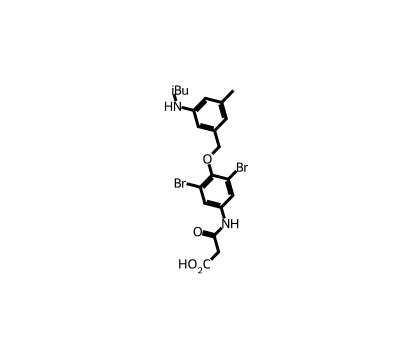 CCC(C)Nc1cc(C)cc(COc2c(Br)cc(NC(=O)CC(=O)O)cc2Br)c1